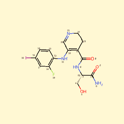 NC(=O)[C@H](CO)NC(=O)C1=C(Nc2ccc(I)cc2F)C=NCC1